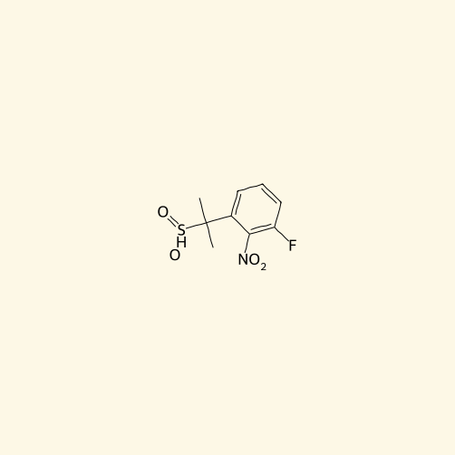 CC(C)(c1cccc(F)c1[N+](=O)[O-])[SH](=O)=O